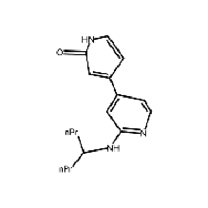 CCCC(CCC)Nc1cc(-c2cc[nH]c(=O)c2)ccn1